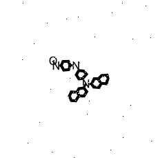 CN(c1ccc(N=O)cc1)c1ccc(N(c2ccc3ccccc3c2)c2ccc3ccccc3c2)cc1